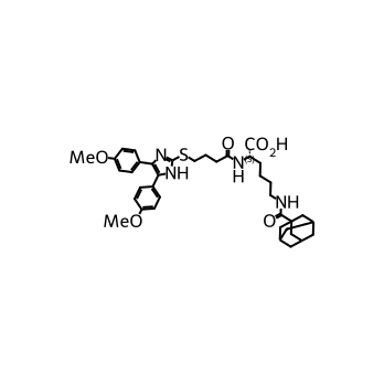 COc1ccc(-c2nc(SCCCC(=O)N[C@@H](CCCCNC(=O)C34CC5CC(CC(C5)C3)C4)C(=O)O)[nH]c2-c2ccc(OC)cc2)cc1